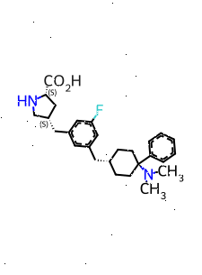 CN(C)[C@]1(c2ccccc2)CC[C@@H](Cc2cc(F)cc(C[C@@H]3CN[C@H](C(=O)O)C3)c2)CC1